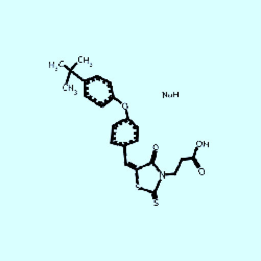 CC(C)(C)c1ccc(Oc2ccc(/C=C3/SC(=S)N(CCC(=O)O)C3=O)cc2)cc1.[NaH]